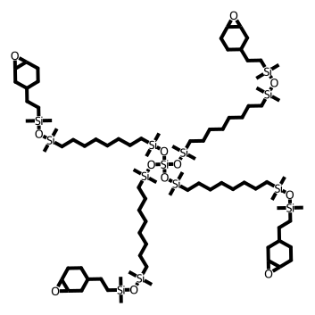 C[Si](C)(CCCCCCCC[Si](C)(C)O[Si](O[Si](C)(C)CCCCCCCC[Si](C)(C)O[Si](C)(C)CCC1CCC2OC2C1)(O[Si](C)(C)CCCCCCCC[Si](C)(C)O[Si](C)(C)CCC1CCC2OC2C1)O[Si](C)(C)CCCCCCCC[Si](C)(C)O[Si](C)(C)CCC1CCC2OC2C1)O[Si](C)(C)CCC1CCC2OC2C1